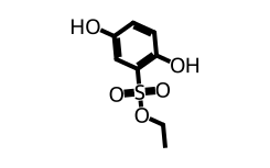 CCOS(=O)(=O)c1cc(O)ccc1O